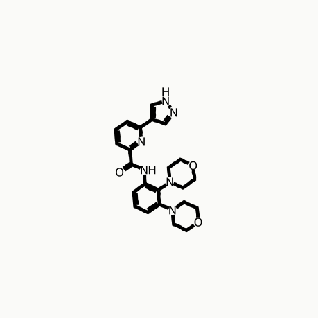 O=C(Nc1cccc(N2CCOCC2)c1N1CCOCC1)c1cccc(-c2cn[nH]c2)n1